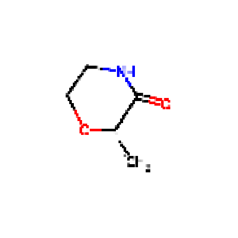 C[C@@H]1OCCNC1=O